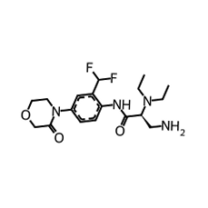 CCN(CC)[C@@H](CN)C(=O)Nc1ccc(N2CCOCC2=O)cc1C(F)F